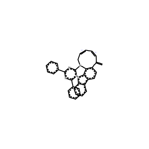 C=C1/C=C\C=C/CN(c2nc(-c3ccccc3)nc(-c3ccccc3)n2)c2c1ccc1c2sc2ccccc21